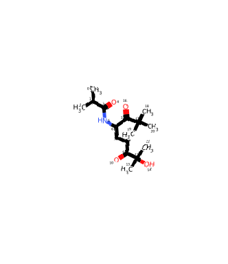 CC(C)C(=O)NC(CCC(=O)C(C)(C)O)C(=O)C(C)(C)C